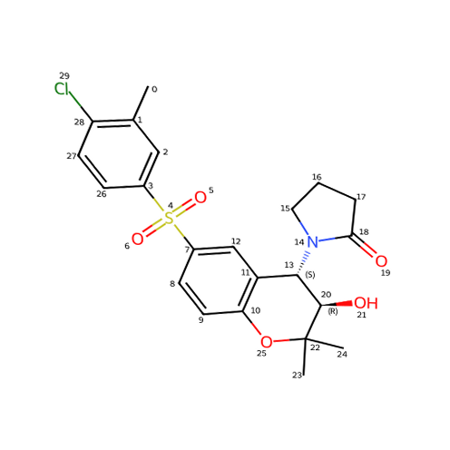 Cc1cc(S(=O)(=O)c2ccc3c(c2)[C@H](N2CCCC2=O)[C@@H](O)C(C)(C)O3)ccc1Cl